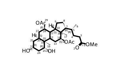 COC(=O)CC[C@@H](C)[C@H]1CC[C@H]2C3C(C[C@H](OC(C)=O)[C@]12C)[C@]1(C)[C@@H](C[C@@H](O)C[C@H]1O)C[C@H]3OC(C)=O